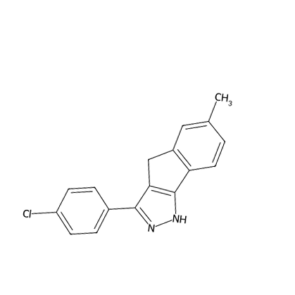 Cc1ccc2c(c1)Cc1c(-c3ccc(Cl)cc3)n[nH]c1-2